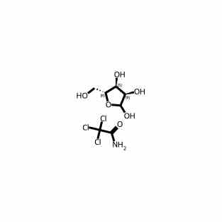 NC(=O)C(Cl)(Cl)Cl.OC[C@H]1OC(O)[C@H](O)[C@@H]1O